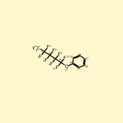 FC(F)(F)C(F)(F)C(F)(F)C(F)(F)C(F)(F)Oc1[c]cccc1